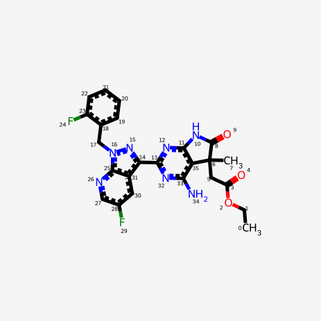 CCOC(=O)CC1(C)C(=O)Nc2nc(-c3nn(Cc4ccccc4F)c4ncc(F)cc34)nc(N)c21